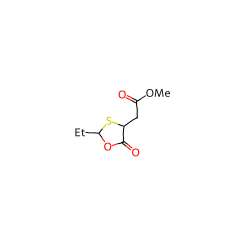 CCC1OC(=O)C(CC(=O)OC)S1